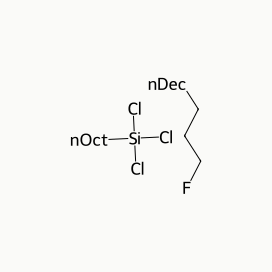 CCCCCCCCCCCCCF.CCCCCCCC[Si](Cl)(Cl)Cl